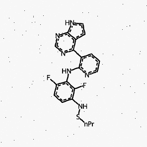 CCCSNc1ccc(F)c(Nc2ncccc2-c2ncnc3[nH]ccc23)c1F